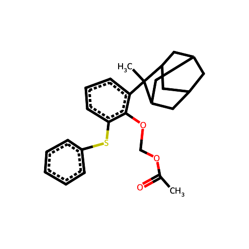 CC(=O)OCOc1c(Sc2ccccc2)cccc1C1(C)C2CC3CC(C2)CC1C3